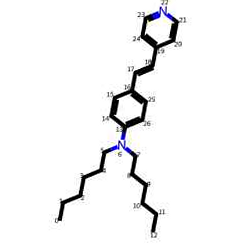 CCCCCCN(CCCCCC)c1ccc(/C=C/c2ccncc2)cc1